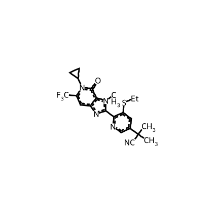 CCSc1cc(C(C)(C)C#N)cnc1-c1nc2cc(C(F)(F)F)n(C3CC3)c(=O)c2n1C